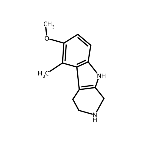 COc1ccc2[nH]c3c(c2c1C)CCNC3